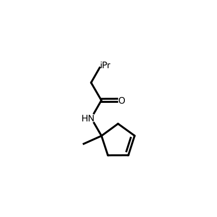 CC(C)CC(=O)NC1(C)CC=CC1